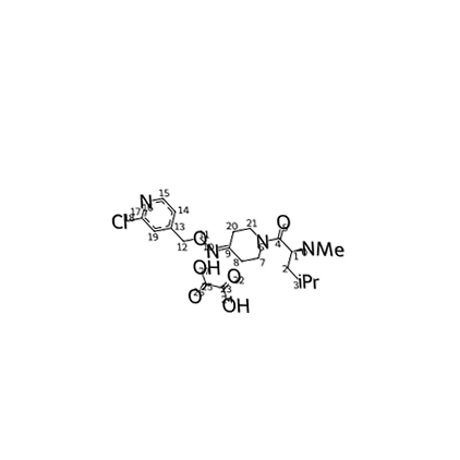 CN[C@@H](CC(C)C)C(=O)N1CCC(=NOCc2ccnc(Cl)c2)CC1.O=C(O)C(=O)O